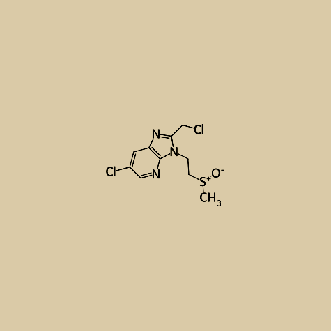 C[S+]([O-])CCn1c(CCl)nc2cc(Cl)cnc21